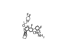 C[C@@H](CN1CCC(F)(F)CC1)Oc1nc(N2CC3CCC(C2)N3)c2cc(Cl)c(-c3ccc(F)c4sc(N)nc34)c(F)c2n1